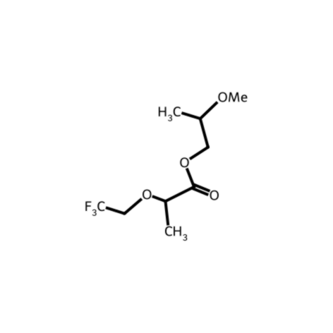 COC(C)COC(=O)C(C)OCC(F)(F)F